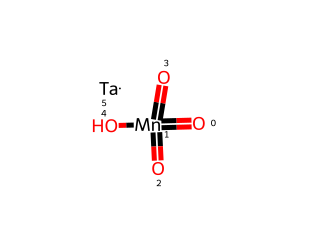 [O]=[Mn](=[O])(=[O])[OH].[Ta]